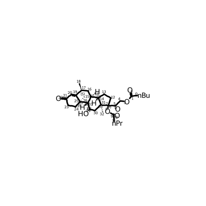 CCCCC(=O)OCC(=O)[C@@]1(OC(=O)CCC)CC[C@H]2[C@@H]3C[C@H](C)C4=CC(=O)CC[C@]4(C)[C@H]3[C@@H](O)C[C@@]21C